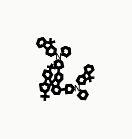 CC(C)(C)c1ccc2c(c1)C1(c3cc(C(C)(C)C)ccc3-2)c2cc(-c3ccc(N(c4ccccc4)c4ccc5c(c4)C(C)(C)c4ccccc4-5)cc3)ccc2-c2c(-c3ccc(N(c4ccccc4)c4ccc5c(c4)C(C)(C)c4ccccc4-5)cc3)cccc21